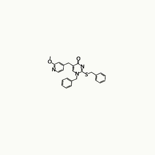 COc1cc(Cc2cn(Cc3ccccc3)c(SCc3ccccc3)nc2=O)ccn1